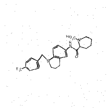 O=C(Nc1ccc2c(c1)CCCN2Cc1ccc(C(F)(F)F)cc1)C1CCCCN1C(=O)O